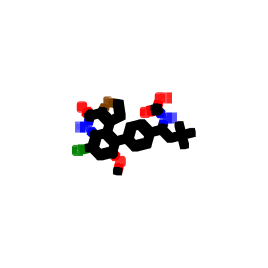 COc1cc(Cl)c2[nH]c(=O)c3sccc3c2c1-c1ccc(C(CC(C)(C)C)NC(=O)O)cc1